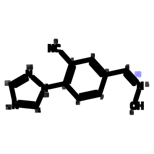 N#Cc1cc(/C=N\O)ccc1-n1cncn1